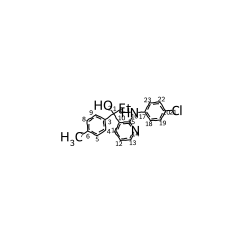 CCC(O)(c1ccc(C)cc1)c1cccnc1Nc1ccc(Cl)cc1